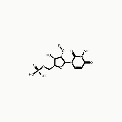 O=c1ccn([C@H]2O[C@@H](COP(=O)(O)O)[C@@H](O)[C@@H]2OF)c(=O)n1S